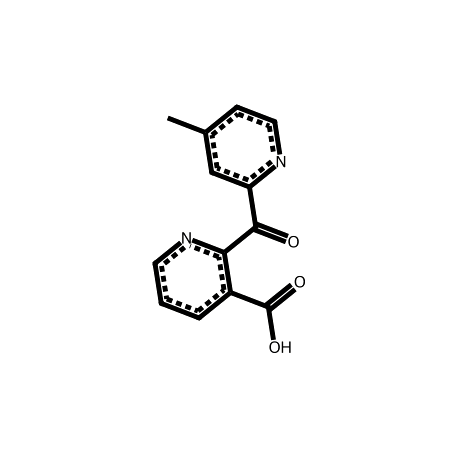 Cc1ccnc(C(=O)c2ncccc2C(=O)O)c1